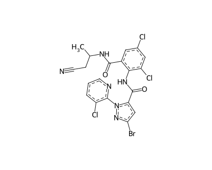 CC(CC#N)NC(=O)c1cc(Cl)cc(Cl)c1NC(=O)c1cc(Br)nn1-c1ncccc1Cl